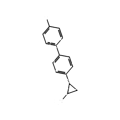 NC1CC1c1ccc(-c2ccc(O)cc2)cc1